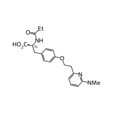 CCC(=O)N[C@@H](Cc1ccc(OCCc2cccc(NC)n2)cc1)C(=O)O